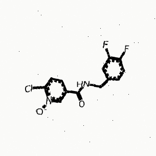 O=C(NCc1ccc(F)c(F)c1)c1ccc(Cl)[n+]([O-])c1